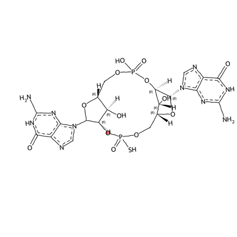 Nc1nc2c(ncn2C2O[C@@H]3COP(=O)(O)O[C@@H]4[C@H](O)[C@@H](COP(=O)(S)O[C@@H]2[C@@H]3O)O[C@H]4n2cnc3c(=O)[nH]c(N)nc32)c(=O)[nH]1